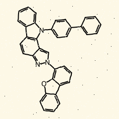 c1ccc(-c2ccc(-n3c4ccccc4c4ccc5nn(-c6cccc7c6oc6ccccc67)cc5c43)cc2)cc1